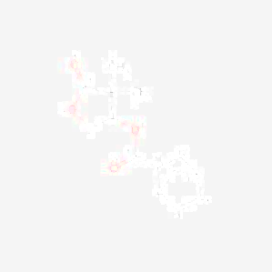 CC1(C)C(=O)OCC1OC(=O)C1CC2C=CC1C2